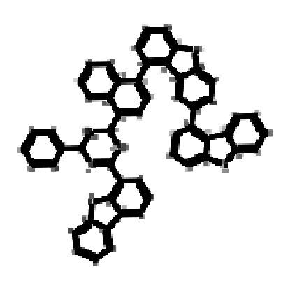 c1ccc(C2N=C(c3cccc4c3oc3ccccc34)NC(c3ccc(-c4cccc5oc6ccc(-c7cccc8oc9ccccc9c78)cc6c45)c4ccccc34)N2)cc1